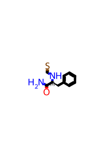 NC(=O)[C@H](Cc1ccccc1)NC=S